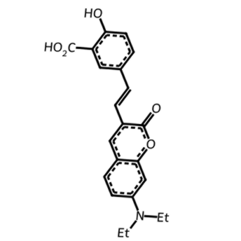 CCN(CC)c1ccc2cc(/C=C/c3ccc(O)c(C(=O)O)c3)c(=O)oc2c1